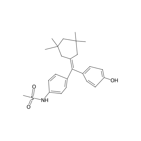 CC1(C)CC(=C(c2ccc(O)cc2)c2ccc(NS(C)(=O)=O)cc2)CC(C)(C)C1